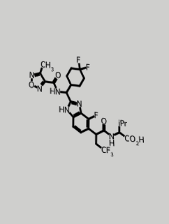 Cc1nonc1C(=O)NC(c1nc2c(F)c(C(CC(F)(F)F)C(=O)NC(C(=O)O)C(C)C)ccc2[nH]1)C1CCC(F)(F)CC1